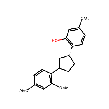 COc1ccc([C@@H]2CCC(c3ccc(OC)cc3OC)C2)c(O)c1